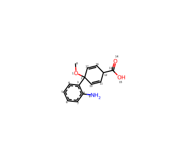 COC1(c2ccccc2N)C=CC(C(=O)O)C=C1